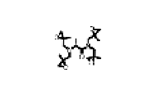 C[C@@H](C(=O)N(CC1(C)CO1)CC1(C)CO1)N(CC1(C)CO1)CC1(C)CO1